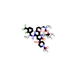 CC(=O)N1CCC(O)(c2cc3c(N[C@H](C)c4cccc(C(F)F)c4F)nc4c(c3n(C)c2=O)O[C@H](CN(C)C(=O)OC(C)(C)C)CC4)CC1